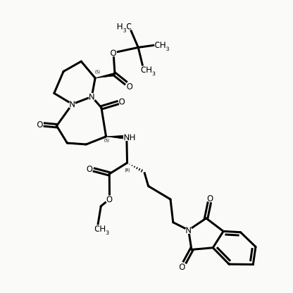 CCOC(=O)[C@@H](CCCCN1C(=O)c2ccccc2C1=O)N[C@H]1CCC(=O)N2CCC[C@@H](C(=O)OC(C)(C)C)N2C1=O